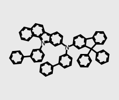 c1ccc(-c2cccc(N(c3ccc4c(c3)C(c3ccccc3)(c3ccccc3)c3ccccc3-4)c3ccc4c5ccc6ccccc6c5n(-c5cccc(-c6ccccc6)c5)c4c3)c2)cc1